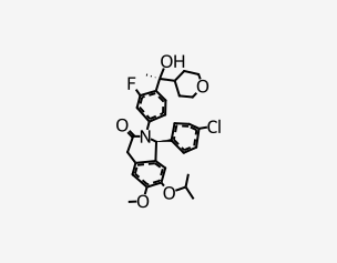 COc1cc2c(cc1OC(C)C)[C@H](c1ccc(Cl)cc1)N(c1ccc([C@@](C)(O)C3CCOCC3)c(F)c1)C(=O)C2